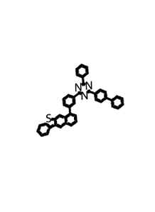 c1ccc(-c2ccc(-c3nc(-c4ccccc4)nc(-c4cccc(-c5cccc6cc7c(cc56)sc5ccccc57)c4)n3)cc2)cc1